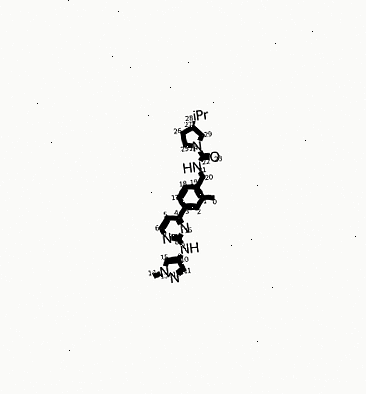 Cc1cc(-c2ccnc(Nc3cnn(C)c3)n2)ccc1CNC(=O)N1CC[C@@H](C(C)C)C1